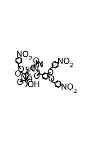 CC(O)[C@H]1C(=O)N2C(C(=O)OCc3ccc([N+](=O)[O-])cc3)=C(S[C@H]3C[C@@H](C(=O)N(C)C)N(CC(=O)c4ccc(OCc5ccc([N+](=O)[O-])cc5)c(OCc5ccc([N+](=O)[O-])cc5)c4)C3)[C@H](C)[C@H]12